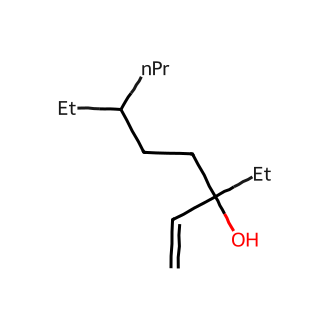 C=CC(O)(CC)CCC(CC)CCC